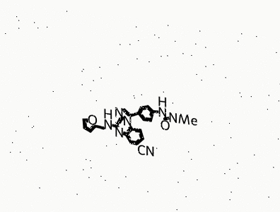 CNC(=O)Nc1ccc(-c2cnc3c(NCc4ccco4)nc4cc(C#N)ccc4n23)cc1